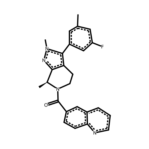 Cc1cc(F)cc(-c2c3c(nn2C)[C@H](C)N(C(=O)c2ccc4ncccc4c2)CC3)c1